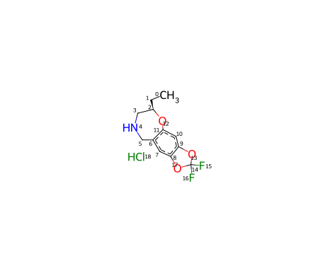 CC[C@@H]1CNCc2cc3c(cc2O1)OC(F)(F)O3.Cl